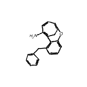 NC1=C2CC(=CC=C1)Oc1cccc(Cc3ccccc3)c12